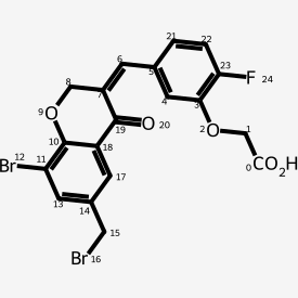 O=C(O)COc1cc(C=C2COc3c(Br)cc(CBr)cc3C2=O)ccc1F